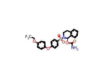 NC(=O)O[C@@H]1c2ccccc2CCN1S(=O)(=O)c1ccc(Oc2ccc(OCC(F)(F)F)cc2)cc1